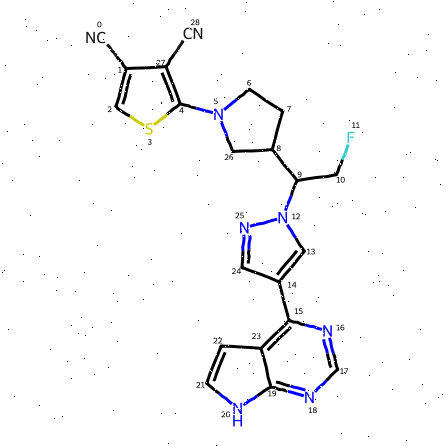 N#Cc1csc(N2CCC(C(CF)n3cc(-c4ncnc5[nH]ccc45)cn3)C2)c1C#N